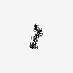 COc1nc(-c2cccc3c2OC(CNC(=O)C2CCOCC2)CO3)ccc1Nc1ccc(CNCC2COCCN2)cc1